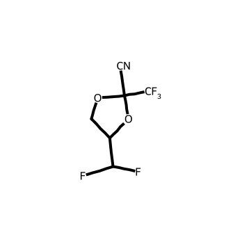 N#CC1(C(F)(F)F)OCC(C(F)F)O1